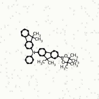 CC1(C)c2ccccc2-c2ccc(N(c3ccccc3)c3ccc4c(c3)C(C)(C)c3cc(B5OC(C)(C)C(C)(C)O5)ccc3-4)cc21